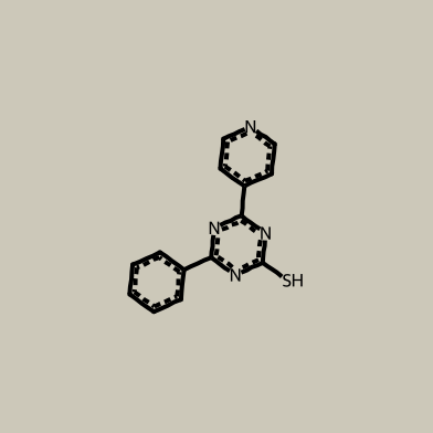 Sc1nc(-c2ccccc2)nc(-c2ccncc2)n1